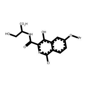 CC(C)Oc1ccc2c(Cl)nc(C(=O)NC(CO)C(=O)O)c(O)c2c1